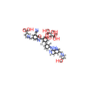 Cc1c(Nc2nccc3cc(CN4CC[C@@H](O)C4)cnc23)cccc1-c1cccc(-c2nc3cc(CN4CC[C@@H](C(=O)O)C4)cc(C#N)c3o2)c1C.O=C(O)[C@H](O)[C@@H](O)C(=O)O